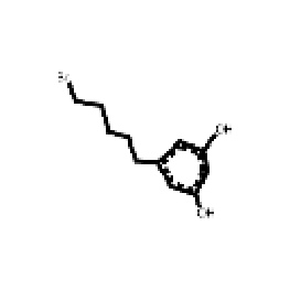 Oc1cc(O)cc(CCCCCBr)c1